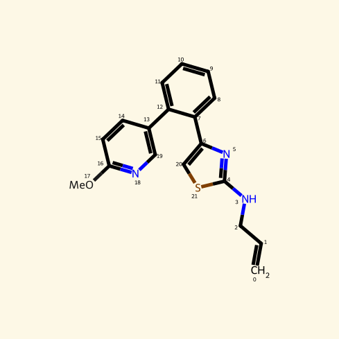 C=CCNc1nc(-c2ccccc2-c2ccc(OC)nc2)cs1